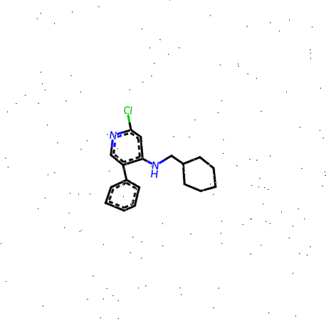 Clc1cc(NCC2CCCCC2)c(-c2ccccc2)cn1